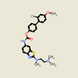 COc1ccc(-c2ccc(OC(=O)Nc3ccc4nc(N(C)CCN(C)C)sc4c3)cc2)c(Cl)c1